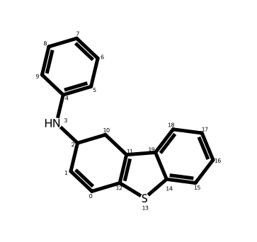 C1=CC(Nc2ccccc2)Cc2c1sc1ccccc21